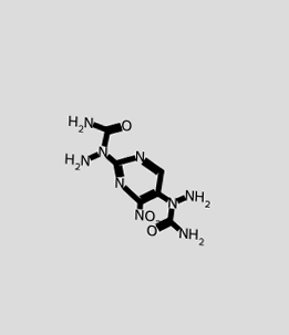 NC(=O)N(N)c1ncc(N(N)C(N)=O)c([N+](=O)[O-])n1